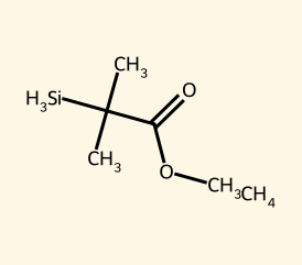 C.COC(=O)C(C)(C)[SiH3]